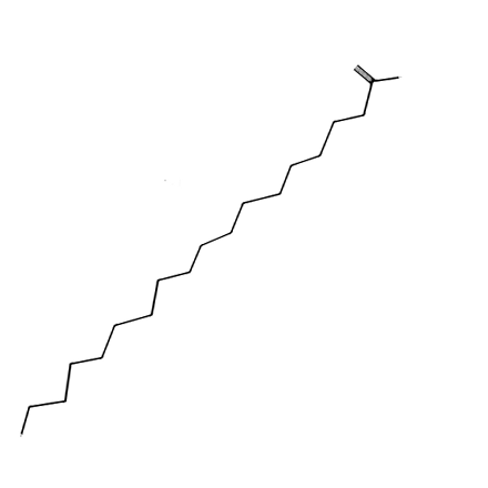 CCCCCCCCCCCCCCCCCC(=O)[O-].[K+].[PbH2]